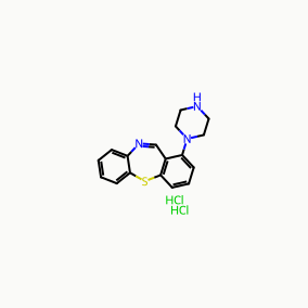 C1=Nc2ccccc2Sc2cccc(N3CCNCC3)c21.Cl.Cl